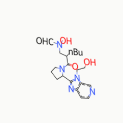 CCCCC(CN(O)C=O)C(=O)N1CCCC1c1nc2ccncc2n1CCO